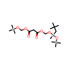 CC(C)(C)C[Si](C)(OCOC(=O)CC(=O)OCO[Si](C)(C)C)O[Si](C)(C)C